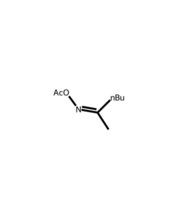 CCCC/C(C)=N\OC(C)=O